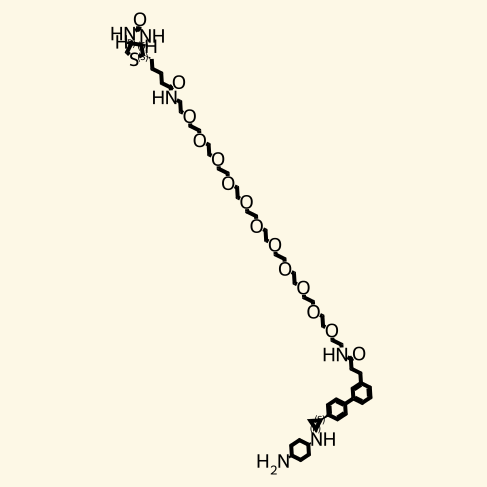 N[C@H]1CC[C@H](N[C@@H]2C[C@H]2c2ccc(-c3cccc(CCC(=O)NCCOCCOCCOCCOCCOCCOCCOCCOCCOCCOCCOCCNC(=O)CCCC[C@@H]4SC[C@@H]5NC(=O)N[C@@H]54)c3)cc2)CC1